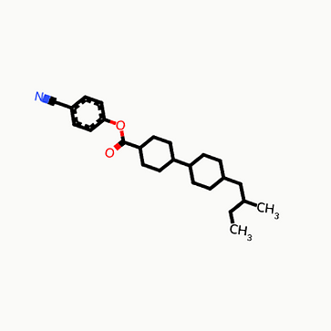 CCC(C)CC1CCC(C2CCC(C(=O)Oc3ccc(C#N)cc3)CC2)CC1